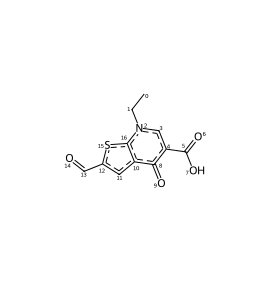 CCn1cc(C(=O)O)c(=O)c2cc(C=O)sc21